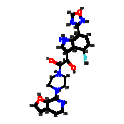 O=C(C(=O)N1CCN(c2nccc3ccoc23)CC1)c1c[nH]c2c(-c3ncon3)ccc(F)c12